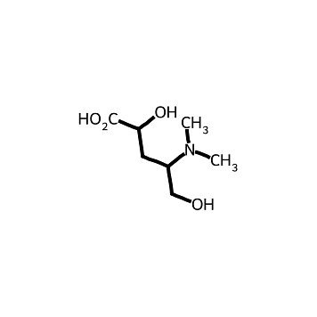 CN(C)C(CO)CC(O)C(=O)O